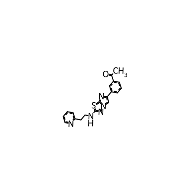 CC(=O)c1cccc(-c2cn3nc(NCCc4ccccn4)sc3n2)c1